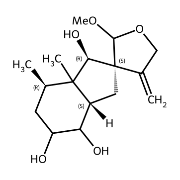 C=C1COC(OC)[C@@]12C[C@@H]1C(O)C(O)C[C@@H](C)C1(C)[C@H]2O